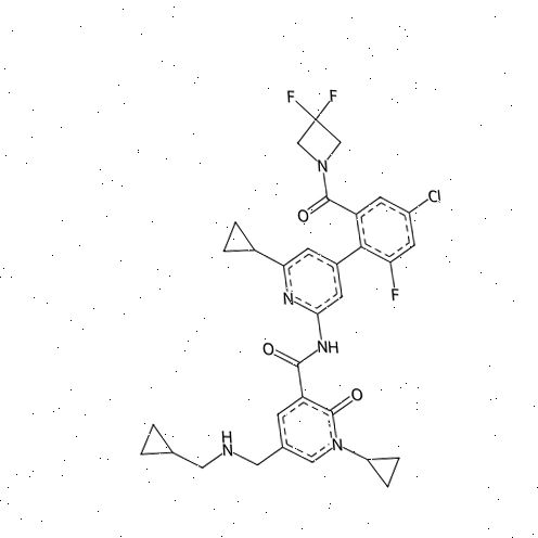 O=C(Nc1cc(-c2c(F)cc(Cl)cc2C(=O)N2CC(F)(F)C2)cc(C2CC2)n1)c1cc(CNCC2CC2)cn(C2CC2)c1=O